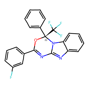 Fc1cccc(C2=Nc3nc4ccccc4n3[C@](c3ccccc3)(C(F)(F)F)O2)c1